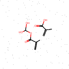 C=C(C)C(=O)O.C=C(C)C(=O)OC(O)O